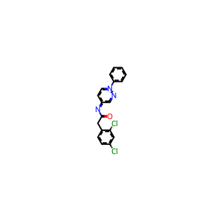 O=C(Cc1ccc(Cl)cc1Cl)/N=c1/ccn(-c2ccccc2)nc1